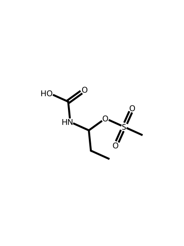 CCC(NC(=O)O)OS(C)(=O)=O